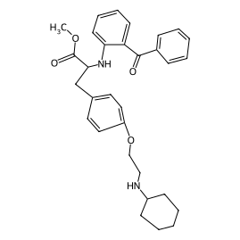 COC(=O)C(Cc1ccc(OCCNC2CCCCC2)cc1)Nc1ccccc1C(=O)c1ccccc1